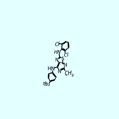 Cc1nc(Nc2ccc(C(C)(C)C)cc2)c2nc(Nc3c(Cl)cccc3Cl)sc2n1